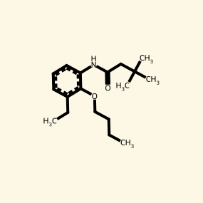 CCCCOc1c(CC)cccc1NC(=O)CC(C)(C)C